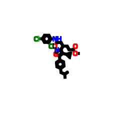 COC(=O)CCC(CC(=O)Nc1ccc(Cl)cc1Cl)c1noc(-c2ccc(CC(C)C)cc2)c1C1CC1